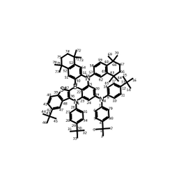 CC(C)(C)c1ccc(N(c2ccc(C(C)(C)C)cc2)c2cc3c4c(c2)N(c2ccc(C(C)(C)C)cc2)c2c(sc5ccc(C(C)(C)C)cc25)B4c2cc4c(cc2N3c2ccc3c(c2)C(C)(C)CCC3(C)C)C(C)(C)CCC4(C)C)cc1